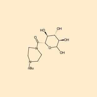 CCCCN1CCN(C(=O)[C@H]2OC(O)[C@H](O)[C@@H](O)[C@@H]2O)CC1